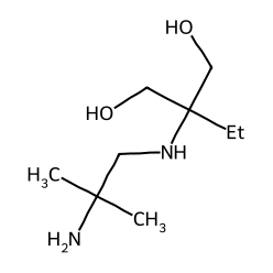 CCC(CO)(CO)NCC(C)(C)N